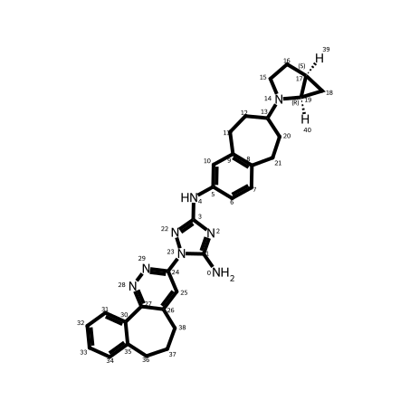 Nc1nc(Nc2ccc3c(c2)CCC(N2CC[C@H]4C[C@H]42)CC3)nn1-c1cc2c(nn1)-c1ccccc1CCC2